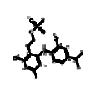 Cc1nc(Cl)c(CCOS(C)(=O)=O)c(Nc2ccc(C(C)C)cc2Br)n1